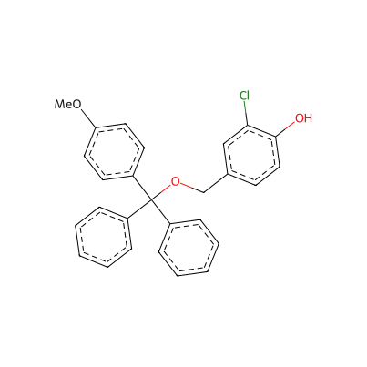 COc1ccc(C(OCc2ccc(O)c(Cl)c2)(c2ccccc2)c2ccccc2)cc1